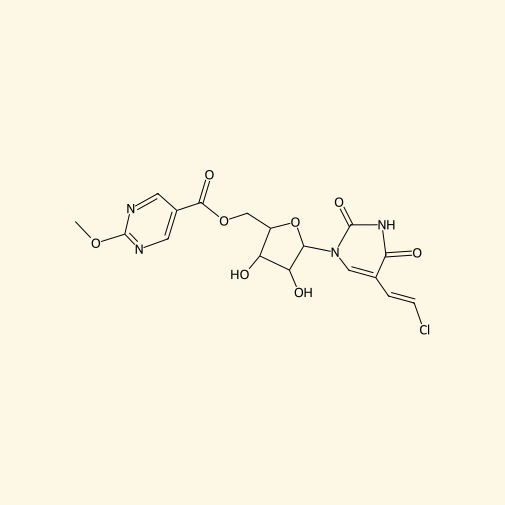 COc1ncc(C(=O)OCC2OC(n3cc(/C=C/Cl)c(=O)[nH]c3=O)C(O)C2O)cn1